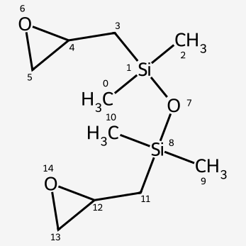 C[Si](C)(CC1CO1)O[Si](C)(C)CC1CO1